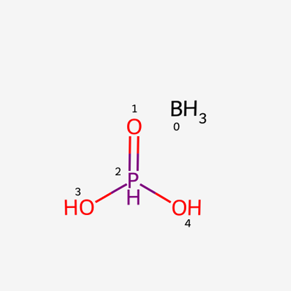 B.O=[PH](O)O